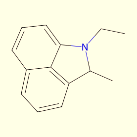 CCN1c2cccc3cccc(c23)C1C